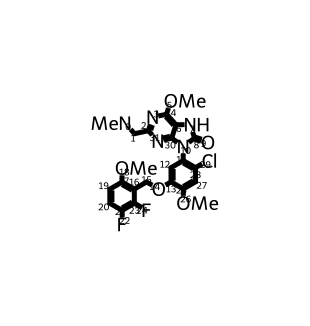 CNCc1nc(OC)c2[nH]c(=O)n(-c3cc(OCc4c(OC)ccc(F)c4F)c(OC)cc3Cl)c2n1